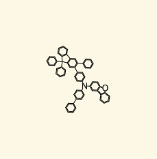 c1ccc(-c2ccc(N(c3ccc(-c4cc5c(cc4-c4ccccc4)-c4ccccc4C5(c4ccccc4)c4ccccc4)cc3)c3ccc4oc5ccccc5c4c3)cc2)cc1